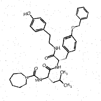 CC(C)C[C@H](NC(=O)N1CCCCCC1)C(=O)N[C@@H](Cc1ccc(OCc2ccccc2)cc1)C(=O)NCCc1ccc(O)cc1